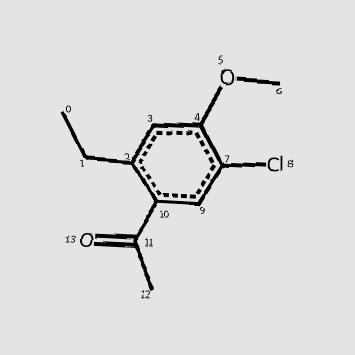 CCc1cc(OC)c(Cl)cc1C(C)=O